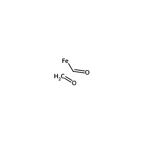 C=O.O=[CH][Fe]